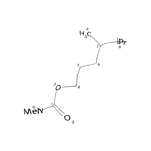 CNC(=O)OCCCC(C)C(C)C